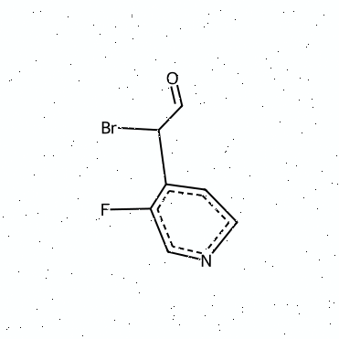 O=CC(Br)c1ccncc1F